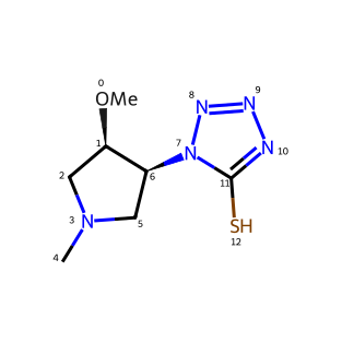 CO[C@@H]1CN(C)C[C@@H]1n1nnnc1S